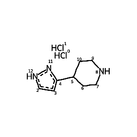 Cl.Cl.c1cc(C2CCNCC2)n[nH]1